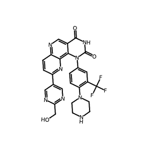 O=c1[nH]c(=O)n(-c2ccc(N3CCNCC3)c(C(F)(F)F)c2)c2c1cnc1ccc(-c3cnc(CO)nc3)nc12